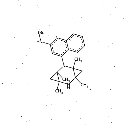 CC(C)(C)Nc1cc(N2C3(C)CC3(C)NC3(C)CC23C)c2ccccc2n1